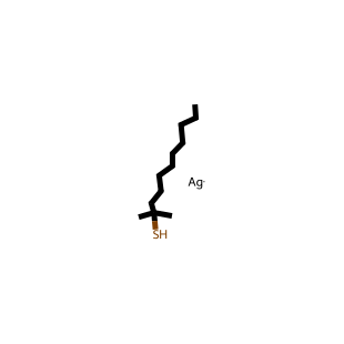 CCCCCCCCCC(C)(C)S.[Ag]